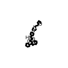 O=C(Nc1ccc(N2CCN(CCc3ccco3)CC2)cc1)C(=O)c1c(-c2ccccc2)cc2ccccn12